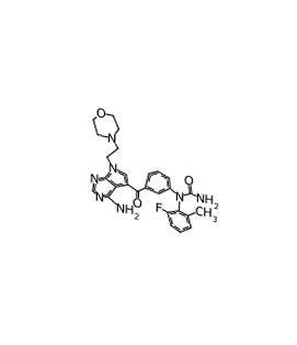 Cc1cccc(F)c1N(C(N)=O)c1cccc(C(=O)c2cn(CCN3CCOCC3)c3ncnc(N)c23)c1